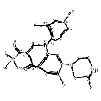 CC1CN(c2cc3c(cc2F)c(=O)c(C(=O)[Si](C)(C)C)cn3-c2ccc(F)cc2F)CCN1